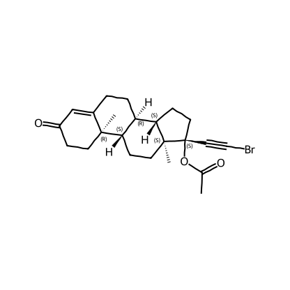 CC(=O)O[C@@]1(C#CBr)CC[C@H]2[C@@H]3CCC4=CC(=O)CC[C@]4(C)[C@H]3CC[C@@]21C